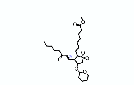 CCCCCC(=O)/C=C/C1C(OC2CCCCO2)CS(=O)(=O)C1CCCCCCC(=O)OC